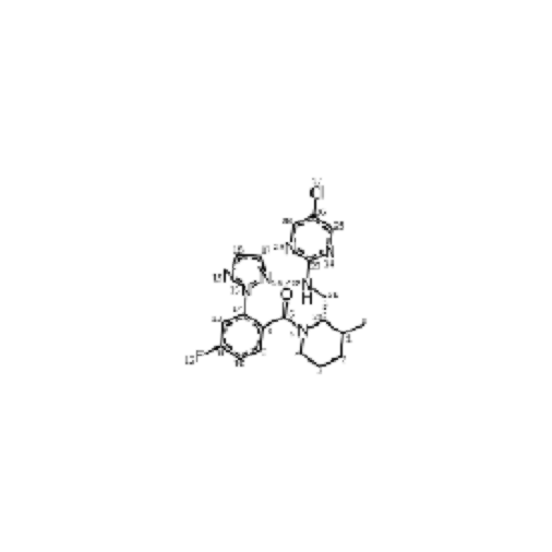 CC1CCCN(C(=O)c2ccc(F)cc2-n2nccn2)[C@@H]1CNc1ncc(Cl)cn1